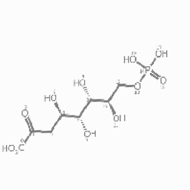 O=C(O)C(=O)C[C@@H](O)[C@@H](O)[C@H](O)[C@H](O)COP(=O)(O)O